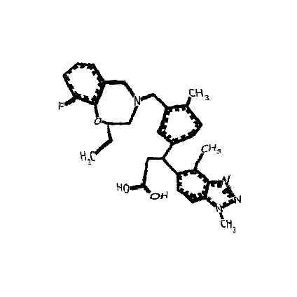 CC[C@@H]1CN(Cc2cc(C(CC(O)O)c3ccc4c(nnn4C)c3C)ccc2C)Cc2cccc(F)c2O1